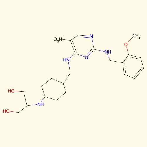 O=[N+]([O-])c1cnc(NCc2ccccc2OC(F)(F)F)nc1NCC1CCC(NC(CO)CO)CC1